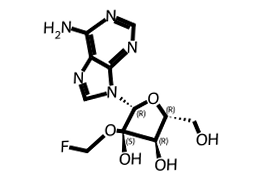 Nc1ncnc2c1ncn2[C@@H]1O[C@H](CO)[C@@H](O)[C@]1(O)OCF